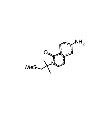 CSCC(C)(C)n1ccc2cc(N)ccc2c1=O